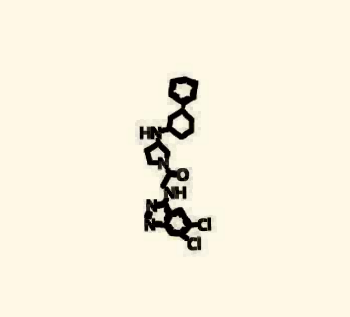 O=C(CNc1ncnc2cc(Cl)c(Cl)cc12)N1CC[C@@H](NC2CCC[C@H](c3ccccc3)C2)C1